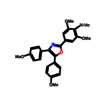 COc1ccc(-c2nc(-c3cc(OC)c(NC(C)=O)c(OC)c3)oc2-c2ccc(OC)cc2)cc1